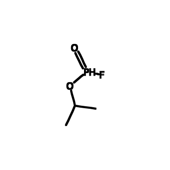 CC(C)O[PH](=O)F